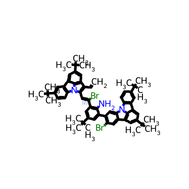 C=Cc1c(/C=C(\Br)c2cc(C(C)(C)C)cc(-c3cc4c(cc3Br)c3cc(C(C)(C)C)cc5c6cc(C(C)(C)C)ccc6n4c53)c2N)n2c3ccc(C(C)(C)C)cc3c3cc(C(C)(C)C)cc1c32